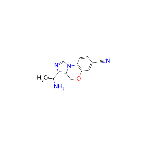 C[C@H](N)c1ncn2c1COc1cc(C#N)ccc1-2